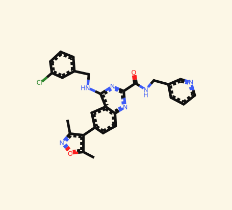 Cc1noc(C)c1-c1ccc2nc(C(=O)NCc3cccnc3)nc(NCc3cccc(Cl)c3)c2c1